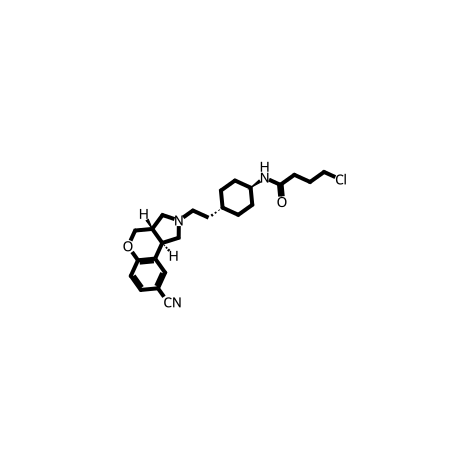 N#Cc1ccc2c(c1)[C@@H]1CN(CC[C@H]3CC[C@H](NC(=O)CCCCl)CC3)C[C@H]1CO2